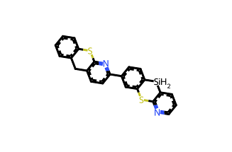 c1ccc2c(c1)Cc1ccc(-c3ccc4c(c3)Sc3ncccc3[SiH2]4)nc1S2